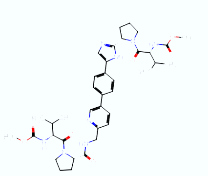 COC(=O)N[C@H](C(=O)N1CCC[C@H]1C(=O)NCc1ccc(-c2ccc(-c3cnc([C@@H]4CCCN4C(=O)[C@@H](NC(=O)OC)C(C)C)[nH]3)cc2)cn1)C(C)C